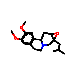 COc1cc2c(cc1OC)C1CC3OC3(CC(C)C)CN1CC2